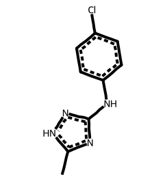 Cc1nc(Nc2ccc(Cl)cc2)n[nH]1